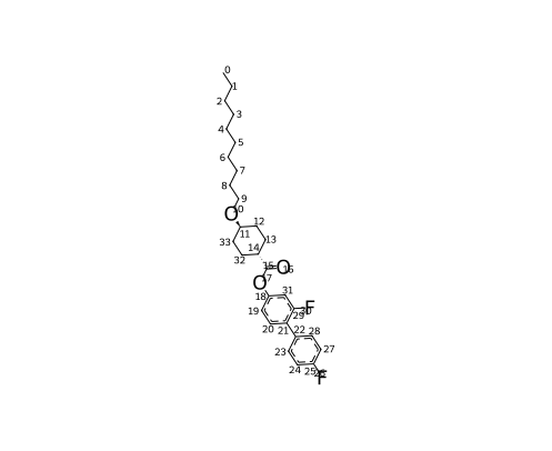 CCCCCCCCCCO[C@H]1CC[C@H](C(=O)Oc2ccc(-c3ccc(F)cc3)c(F)c2)CC1